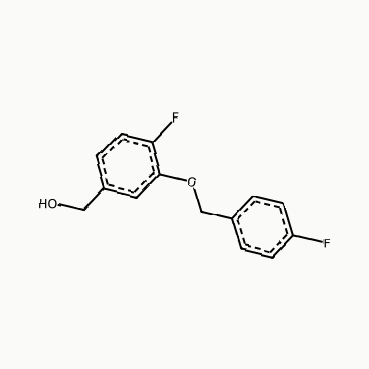 OCc1ccc(F)c(OCc2ccc(F)cc2)c1